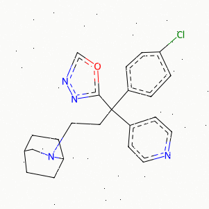 Clc1ccc(C(CCN2CC3CCC2CC3)(c2ccncc2)c2nnco2)cc1